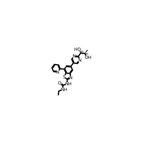 CCNC(=O)Nc1nc2cc(-c3cnc([C@@H](O)[C@@H](C)O)nc3)cc(-c3ccccn3)c2s1